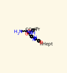 CCCCCCCOc1ccc(-c2cnc(-c3ccc(C[C@H](NC(=O)c4ccc(C(C)C)cc4)C(=O)N[C@@H](CCCCN)C(=O)O)cc3)nc2)cc1